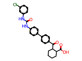 O=C(Nc1ccc(-c2ccc(C(=O)C3CCCCC3C(=O)O)cc2)cc1)Nc1cccc(Cl)c1